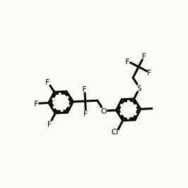 Cc1cc(Cl)c(OCC(F)(F)c2cc(F)c(F)c(F)c2)cc1SCC(F)(F)F